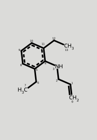 C=CCNc1c(CC)cccc1CC